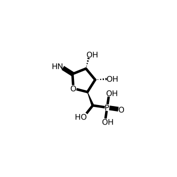 N=C1O[C@H](C(O)P(=O)(O)O)[C@@H](O)[C@H]1O